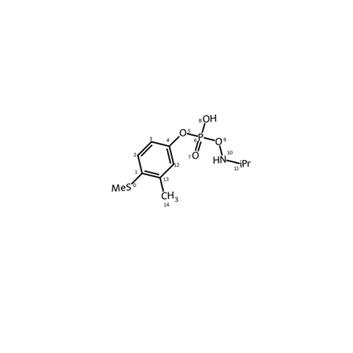 CSc1ccc(OP(=O)(O)ONC(C)C)cc1C